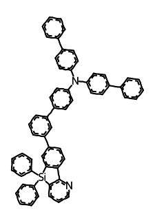 c1ccc(-c2ccc(N(c3ccc(-c4ccccc4)cc3)c3ccc(-c4cccc(-c5ccc6c(c5)[Si](c5ccccc5)(c5ccccc5)c5cccnc5-6)c4)cc3)cc2)cc1